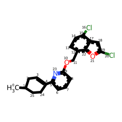 CC1CC=C(c2cccc(OCc3ccc(Cl)c4cc(Cl)oc34)n2)CC1